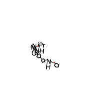 Cc1c(N[S+]([O-])c2ccc(-c3cccc(CNCCCc4ccccc4)c3)cc2)c(CC(C)C)nn1C